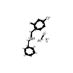 CC(=O)[O-].Cc1cc(Cl)ccc1CNCc1ccccc1.[K+]